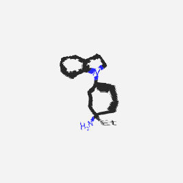 CCC1(N)C=CC=C(n2ccc3ccccc32)C=C1